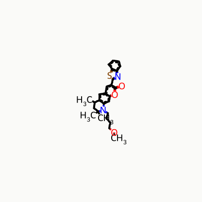 COCCCCN1c2cc3oc(=O)c(-c4nc5ccccc5s4)cc3cc2C(C)CC1(C)C